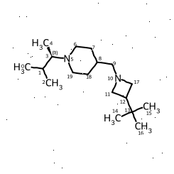 CC(C)[C@@H](C)N1CCC(CN2CC(C(C)(C)C)C2)CC1